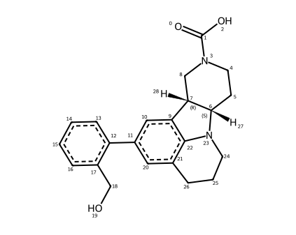 O=C(O)N1CC[C@H]2[C@@H](C1)c1cc(-c3ccccc3CO)cc3c1N2CCC3